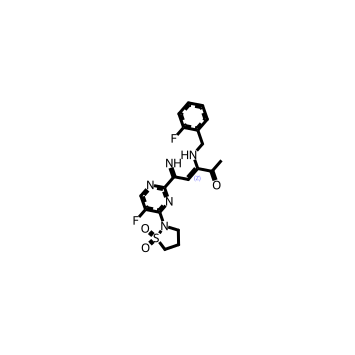 CC(=O)/C(=C/C(=N)c1ncc(F)c(N2CCCS2(=O)=O)n1)NCc1ccccc1F